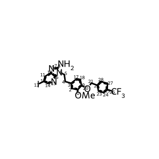 COc1cc(CCn2c(N)nc3cc(I)cnc32)ccc1OCc1ccc(C(F)(F)F)cc1